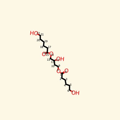 O=C(CCCCCO)OCCC(O)COC(=O)CCCCCO